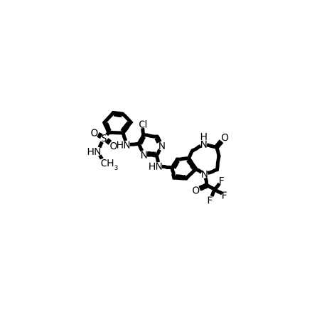 CNS(=O)(=O)c1ccccc1Nc1nc(Nc2ccc3c(c2)CNC(=O)CCN3C(=O)C(F)(F)F)ncc1Cl